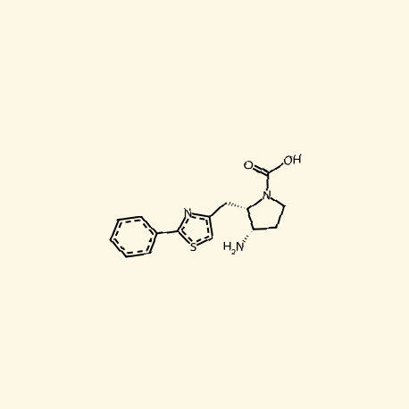 N[C@H]1CCN(C(=O)O)[C@H]1Cc1csc(-c2ccccc2)n1